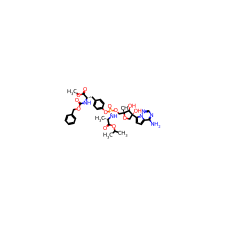 COC(=O)[C@H](Cc1ccc(OP(=O)(N[C@@H](C)C(=O)OC(C)C)OC[C@@]2(C)OC[C@](O)(c3ccc4c(N)ncnn34)[C@@H]2O)cc1)NC(=O)OCc1ccccc1